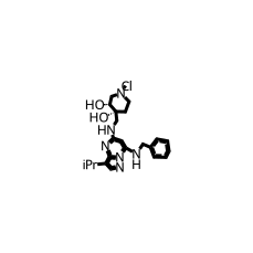 CC(C)c1cnn2c(NCc3ccccc3)cc(NC[C@]3(O)CCN(Cl)C[C@H]3O)nc12